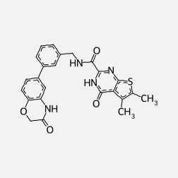 Cc1sc2nc(C(=O)NCc3cccc(-c4ccc5c(c4)NC(=O)CO5)c3)[nH]c(=O)c2c1C